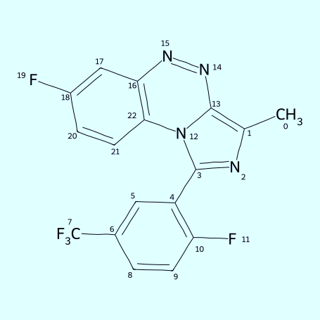 Cc1nc(-c2cc(C(F)(F)F)ccc2F)n2c1nnc1cc(F)ccc12